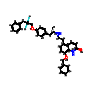 C[C@@H](Cc1ccc(OCC(F)(F)Cc2ccccc2)cc1)NCCc1ccc(OCc2ccccc2)c2[nH]c(=O)ccc12